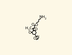 Cc1c(C(=O)OCCCCN)oc2c1C(=O)CC(c1ncco1)C2